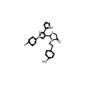 O=C1CSC(c2cn(-c3ccc(F)cc3)nc2-c2ccc[nH]2)N1CCc1ccc(O)cc1